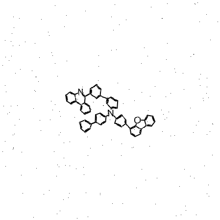 c1ccc(-c2ccc(N(c3ccc(-c4cccc5c4oc4ccccc45)cc3)c3cccc(-c4cccc(-c5nc6ccccc6c6ccccc56)c4)c3)cc2)cc1